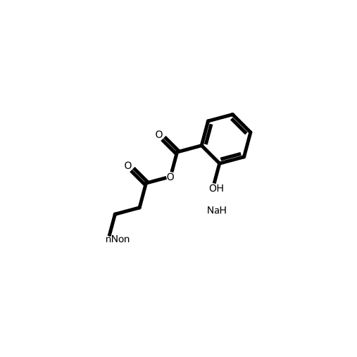 CCCCCCCCCCCC(=O)OC(=O)c1ccccc1O.[NaH]